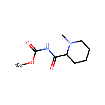 CN1CCCCC1C(=O)NC(=O)OC(C)(C)C